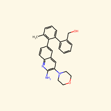 Cc1cccc(-c2ccccc2CO)c1-c1ccc2nc(N)c(N3CCOCC3)cc2c1